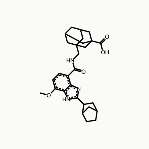 COc1ccc(C(=O)NCC23CC4CC(C2)CC(C(=O)O)(C4)C3)c2nc(C3CC4CCC3C4)[nH]c12